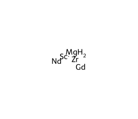 [Gd].[MgH2].[Nd].[Sc].[Zr]